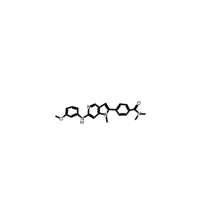 COc1cccc(Nc2cc3c(cn2)cc(-c2ccc(C(=O)N(C)C)cc2)n3C)c1